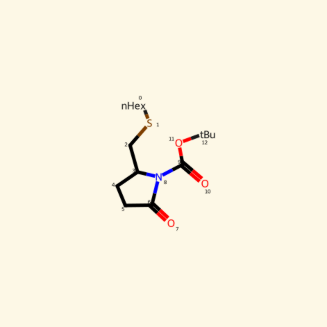 CCCCCCSCC1CCC(=O)N1C(=O)OC(C)(C)C